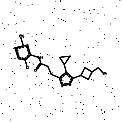 CC(C)CC1CC(c2onc(CCC(=O)Nc3cc(C#N)ccc3Cl)c2C2CC2)C1